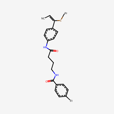 CCc1ccc(C(=O)NCCCC(=O)Nc2ccc(/C(=C\C#N)SC(C)C)cc2)cc1